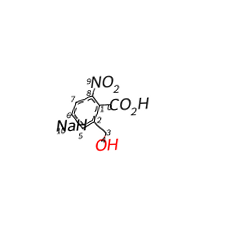 O=C(O)c1c(CO)cccc1[N+](=O)[O-].[NaH]